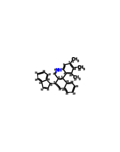 Cc1ccc(-c2c(C=N)c(C3C=Cc4ccccc43)cc3ccccc23)c(C)c1C